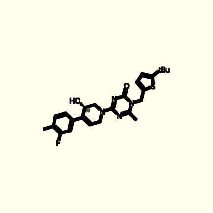 Cc1ccc(C2=CCN(c3nc(C)n(Cc4ccc(C(C)(C)C)s4)c(=O)n3)C[C@@H]2O)cc1F